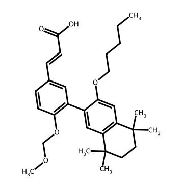 CCCCCOc1cc2c(cc1-c1cc(C=CC(=O)O)ccc1OCOC)C(C)(C)CCC2(C)C